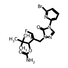 CC(C)(C)C(OC(N)=O)C(=CF)Cn1ncn(-c2cccc(Br)n2)c1=O